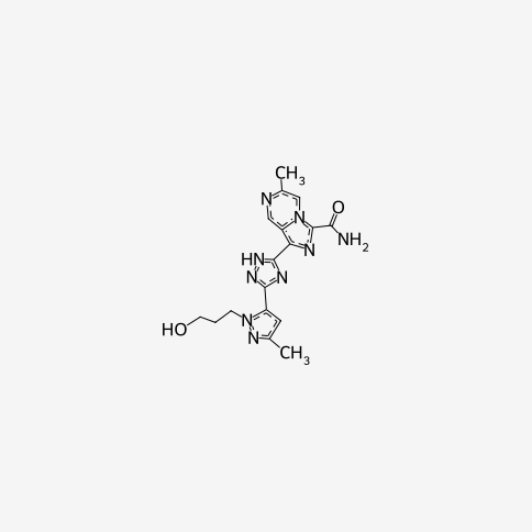 Cc1cn2c(C(N)=O)nc(-c3nc(-c4cc(C)nn4CCCO)n[nH]3)c2cn1